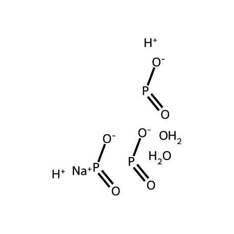 O.O.O=P[O-].O=P[O-].O=P[O-].[H+].[H+].[Na+]